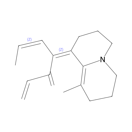 C=CC(=C)C(/C=C\C)=C1/CCCN2CCCC(C)=C12